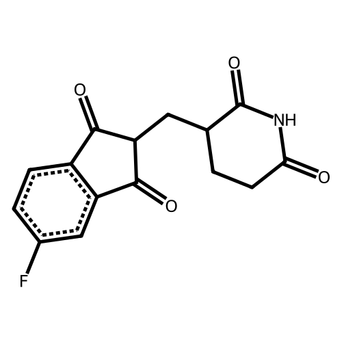 O=C1CCC(CC2C(=O)c3ccc(F)cc3C2=O)C(=O)N1